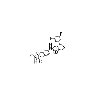 CN1C(=O)NC(=O)C12Cc1ccc(NC(=O)CN3C(=O)CSCC3c3cc(F)cc(F)c3)cc1C2